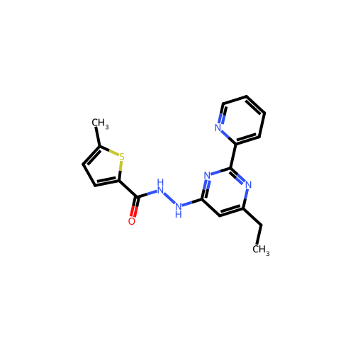 CCc1cc(NNC(=O)c2ccc(C)s2)nc(-c2ccccn2)n1